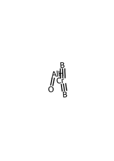 [B]#[Cr]#[B].[O]=[AlH]